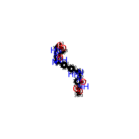 C=CCCN(Cc1ncc(-c2ccc(-c3ccc(-c4cnc(CN5CCC[C@@H](NC(=O)OC(C)(C)C)C5=O)[nH]4)cc3)cc2)[nH]1)C(=O)[C@H](C=C)NC(=O)OC